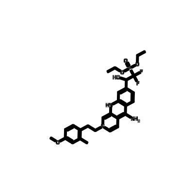 CCOP(=O)(OCC)C(F)(F)C(O)c1ccc2c(c1)NC1=CN(CCc3ccc(OC)cc3C)C=CC1=C2N